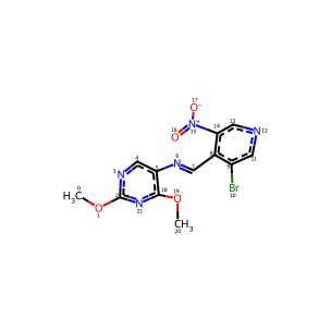 COc1ncc(/N=C/c2c(Br)cncc2[N+](=O)[O-])c(OC)n1